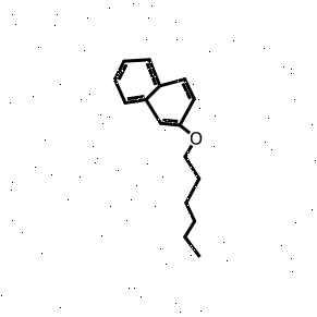 CCCCCCOc1ccc2ccccc2c1